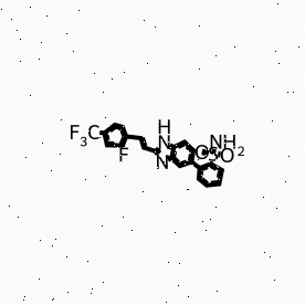 NS(=O)(=O)c1ccccc1-c1ccc2[nH]c(C=Cc3ccc(C(F)(F)F)cc3F)nc2c1